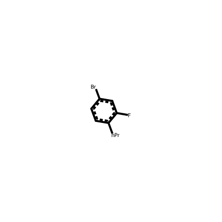 [CH2]CCc1ccc(Br)cc1F